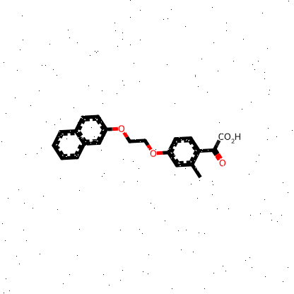 Cc1cc(OCCOc2ccc3ccccc3c2)ccc1C(=O)C(=O)O